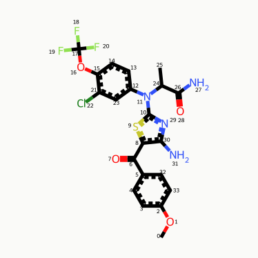 COc1ccc(C(=O)c2sc(N(c3ccc(OC(F)(F)F)c(Cl)c3)C(C)C(N)=O)nc2N)cc1